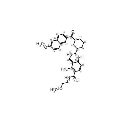 COCCNC(=O)C1=C(C)/C(=C/NCC2CCCC(C(=O)c3ccc4cc(OC)ccc4c3)C2)C(=N)C=C1